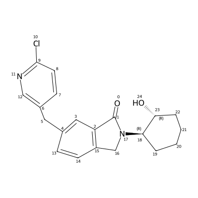 O=C1c2cc(Cc3ccc(Cl)nc3)ccc2CN1[C@@H]1CCCC[C@H]1O